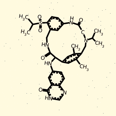 Cc1cc2cc(C)c1CN(C(C)C)CC(=O)Nc1ccc(S(=O)(=O)C(C)C)c(c1)CNC(=O)C2Nc1ccc2nc[nH]c(=O)c2c1